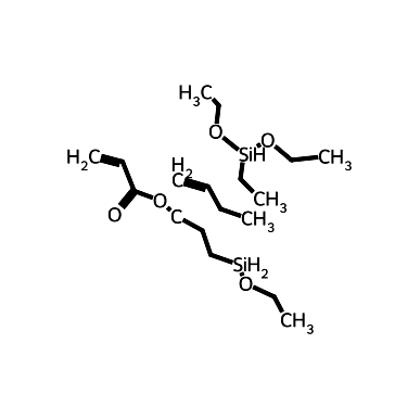 C=CC(=O)OCCC[SiH2]OCC.C=CCC.CCO[SiH](CC)OCC